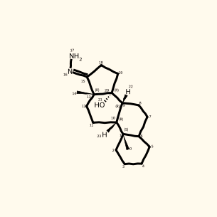 C[C@]12CCCCC1CC[C@@H]1[C@H]2CC[C@]2(C)C(=NN)CC[C@@]12O